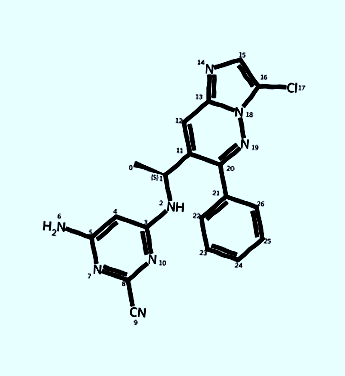 C[C@H](Nc1cc(N)nc(C#N)n1)c1cc2ncc(Cl)n2nc1-c1ccccc1